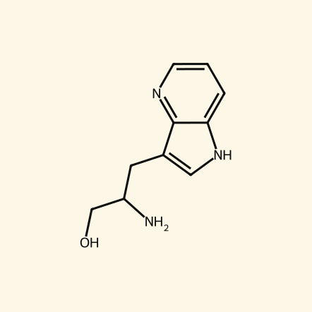 NC(CO)Cc1c[nH]c2cccnc12